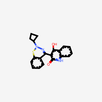 O=c1[nH]c2ccccc2c(O)c1C1=NN(C2CCC2)Sc2ccccc21